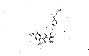 N=C(NCCCCc1ccc(OCCO)cc1)NC(=O)c1nc(I)c(N)nc1N